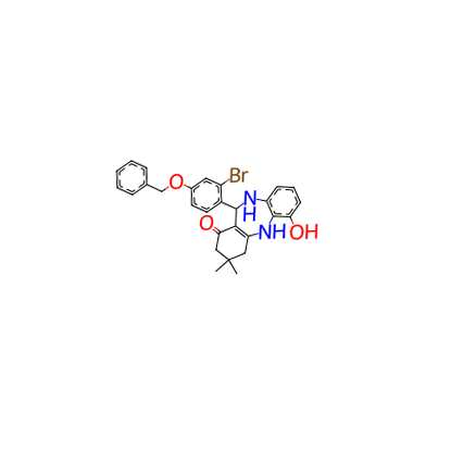 CC1(C)CC(=O)C2=C(C1)Nc1c(O)cccc1NC2c1ccc(OCc2ccccc2)cc1Br